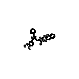 COc1ccc(-c2nn(-c3ccccc3)cc2/C=c2\sc3nc(=O)c(Cc4ccccc4)nn3c2=O)cc1N=O